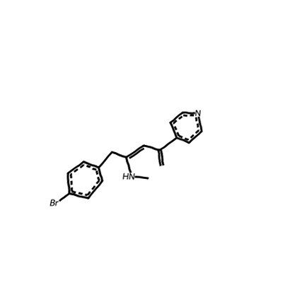 C=C(/C=C(/Cc1ccc(Br)cc1)NC)c1ccncc1